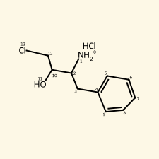 Cl.NC(Cc1ccccc1)C(O)CCl